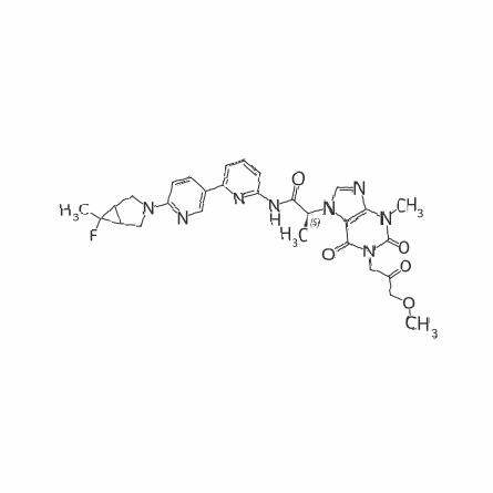 COCC(=O)Cn1c(=O)c2c(ncn2[C@@H](C)C(=O)Nc2cccc(-c3ccc(N4CC5C(C4)C5(C)F)nc3)n2)n(C)c1=O